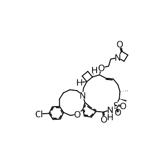 C[C@@H]1[C@@H](C)C/C=C/[C@H](OCCN2CCC2=O)[C@@H]2CC[C@H]2CN2CCCCc3cc(Cl)ccc3COc3ccc(cc32)C(=O)NS1(=O)=O